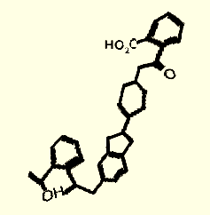 C=C(O)c1ccccc1C(C)Cc1ccc2c(c1)CC(C1CCC(CC(=O)c3ccccc3C(=O)O)CC1)C2